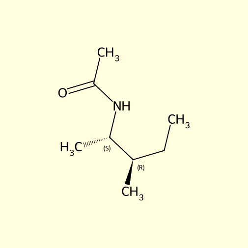 CC[C@@H](C)[C@H](C)NC(C)=O